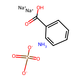 N.O=C(O)c1ccccc1.O=S(=O)([O-])[O-].[Na+].[Na+]